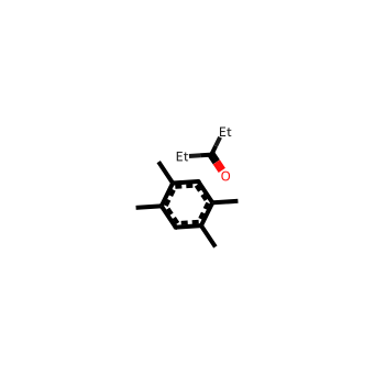 CCC(=O)CC.Cc1cc(C)c(C)cc1C